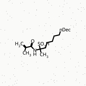 C=C(C)C(=O)NC(C)(CCCCCCCCCCCCCCC)S(=O)(=O)O